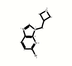 Brc1ccc2ncn(CC3COC3)c2n1